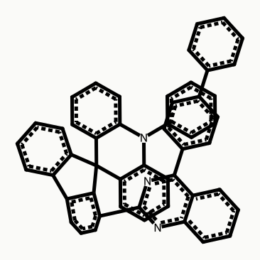 c1ccc(-c2ccc(-c3nc(-c4cccc5c4C4(c6ccccc6-5)c5ccccc5N(c5ccccc5)c5ccccc54)nc4ccccc34)cc2)cc1